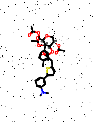 CC(=O)OC[C@H]1OC[C@H](OC(C)=O)[C@@H](OC(C)=O)[C@]1(OC(C)=O)c1ccc(C)c(Cc2ccc(-c3cccc(N(C)C)c3)s2)c1